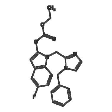 CCOC(=O)Oc1cc2cc(F)ccc2n1Cc1nccn1Cc1ccccc1